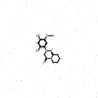 CC(C)Oc1cc(N2CC(=O)N3CCCCC3=N2)c(Cl)cc1Cl